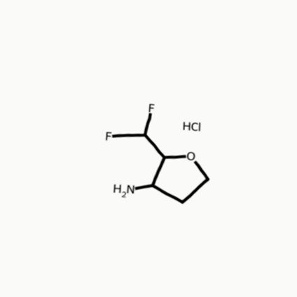 Cl.NC1CCOC1C(F)F